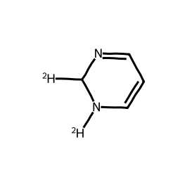 [2H]C1N=CC=CN1[2H]